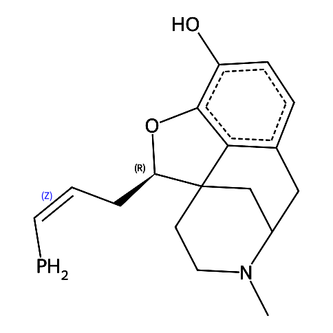 CN1CCC23CC1Cc1ccc(O)c(c12)O[C@@H]3C/C=C\P